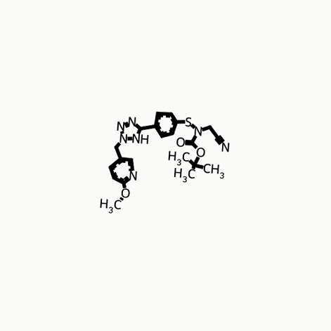 COc1ccc(CN2N=NC(c3ccc(SN(CC#N)C(=O)OC(C)(C)C)cc3)N2)cn1